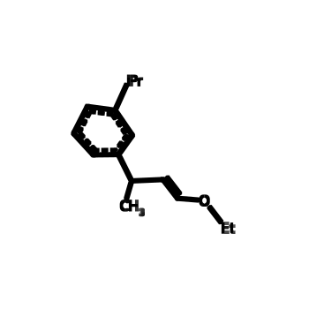 CCOC=CC(C)c1cccc(C(C)C)c1